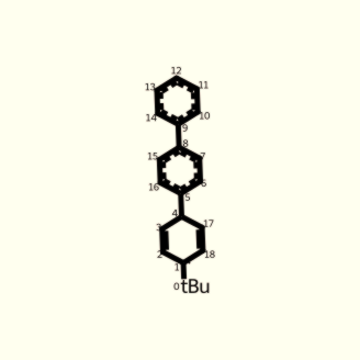 CC(C)(C)[C]1C=CC(c2ccc(-c3ccccc3)cc2)C=C1